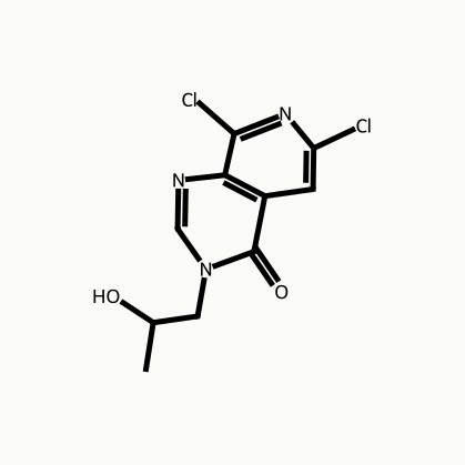 CC(O)Cn1cnc2c(Cl)nc(Cl)cc2c1=O